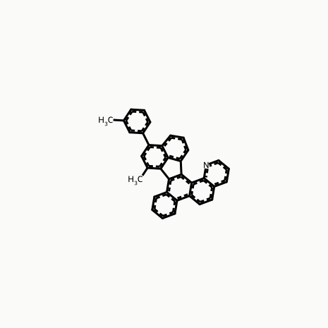 Cc1cccc(-c2cc(C)c3c4c(cccc24)-c2c-3c3ccccc3c3ccc4cccnc4c23)c1